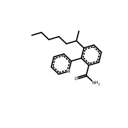 CCCCCC(C)c1cccc(C(N)=O)c1-c1ccccn1